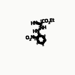 CCOC(=O)C(=N)NNc1ccccc1[N+](=O)[O-]